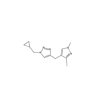 Cn1cc(Cc2cn(CC3CC3)nn2)c(I)n1